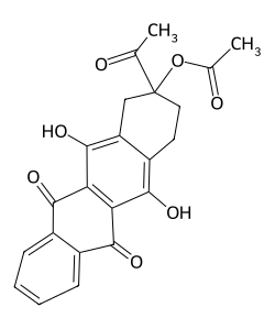 CC(=O)OC1(C(C)=O)CCc2c(O)c3c(c(O)c2C1)C(=O)c1ccccc1C3=O